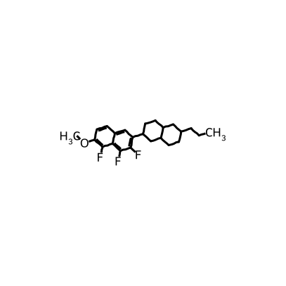 CCCC1CCC2CC(c3cc4ccc(OC)c(F)c4c(F)c3F)CCC2C1